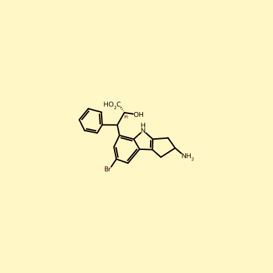 NC1Cc2[nH]c3c(C(c4ccccc4)[C@@H](O)C(=O)O)cc(Br)cc3c2C1